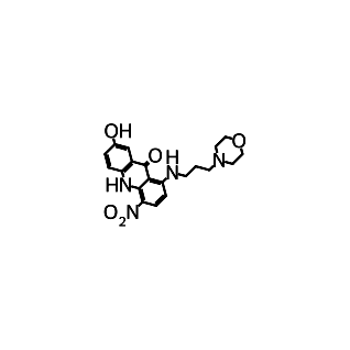 O=c1c2cc(O)ccc2[nH]c2c([N+](=O)[O-])ccc(NCCCN3CCOCC3)c12